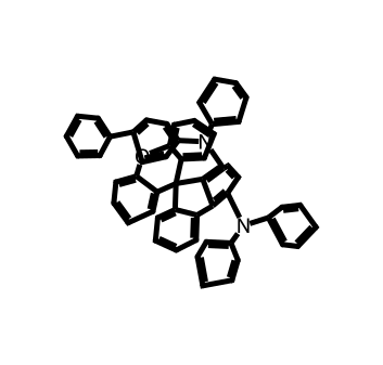 c1ccc(-c2ccc(N(c3ccccc3)c3ccc(N(c4ccccc4)c4ccccc4)c4c3C3(c5ccccc5Oc5ccccc53)c3ccccc3-4)cc2)cc1